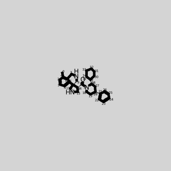 Cc1cccc2c1CNC[C@]21CNC[C@H]1C(=O)N1CC[C@@H](c2ccccc2)C[C@H]1C1CCCCC1